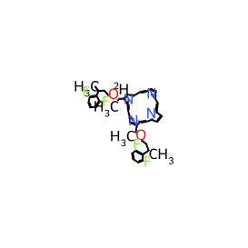 [2H]C1=C(C(C)OCCC(C)c2c(F)cccc2F)C2=CC3=NC(=CC4=NC(=CC5=NC(=CC1=N2)C=C5)C=C4)C(C(C)OCCC(C)c1c(F)cccc1F)=C3